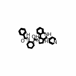 O=C(N[C@@H]1CCCC[C@@H]1C(=O)N1CC[C@H]2[C@@H](c3ccncc3)Nc3ccccc3[C@H]21)c1ccccc1